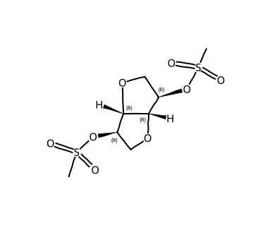 CS(=O)(=O)O[C@@H]1CO[C@@H]2[C@H]1OC[C@H]2OS(C)(=O)=O